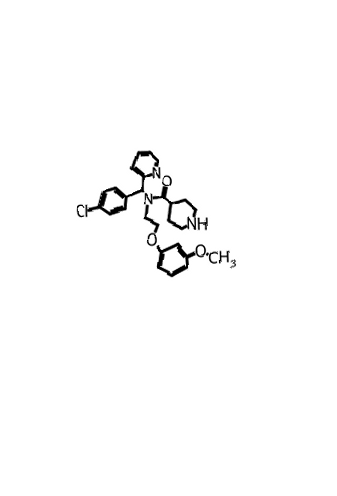 COc1cccc(OCCN(C(=O)C2CCNCC2)[C@H](c2ccc(Cl)cc2)c2ccccn2)c1